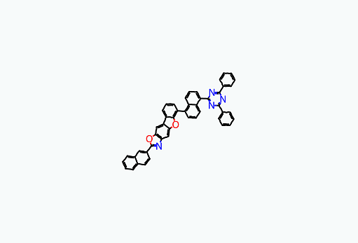 c1ccc(-c2nc(-c3ccccc3)nc(-c3cccc4c(-c5cccc6c5oc5cc7nc(-c8ccc9ccccc9c8)oc7cc56)cccc34)n2)cc1